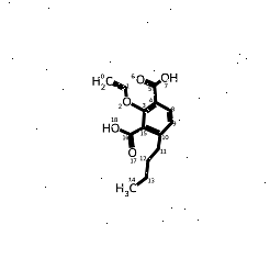 C=COc1c(C(=O)O)ccc(CCCC)c1C(=O)O